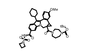 COc1ccc2c(c1)C1CC1(C(=O)N1CCCN(C(=O)OC(C)(C)C)CC1)Cn1c-2c(C2CCCCC2)c2ccc(C(=O)NS(=O)(=O)N3CCC3)cc21